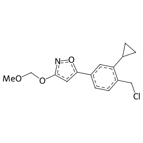 COCOc1cc(-c2ccc(CCl)c(C3CC3)c2)on1